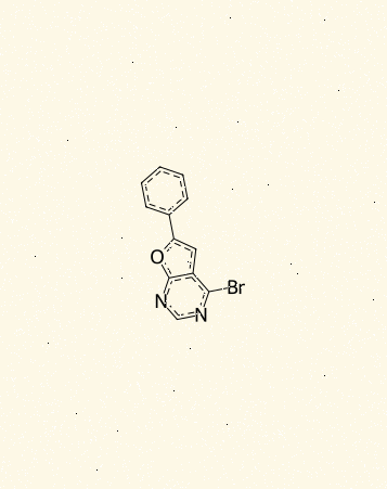 Brc1ncnc2oc(-c3ccccc3)cc12